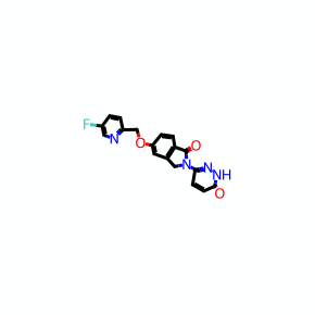 O=C1c2ccc(OCc3ccc(F)cn3)cc2CN1c1ccc(=O)[nH]n1